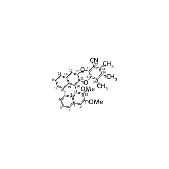 COc1cc2ccccc2c(-c2c3c(cc4ccccc24)Oc2c(C#N)c(C)c(C)c(C)c2O3)c1OC